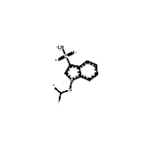 NS(=O)(=O)c1cn(OC(F)F)c2ccccc12